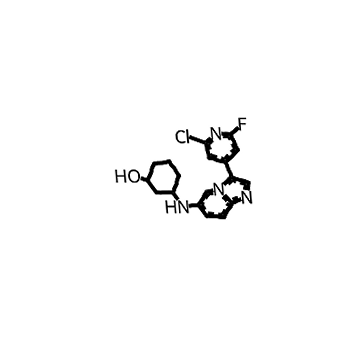 OC1CCCC(Nc2ccc3ncc(-c4cc(F)nc(Cl)c4)n3c2)C1